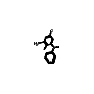 Cc1c(N)cc(Cl)cc1N(C)c1ccccc1